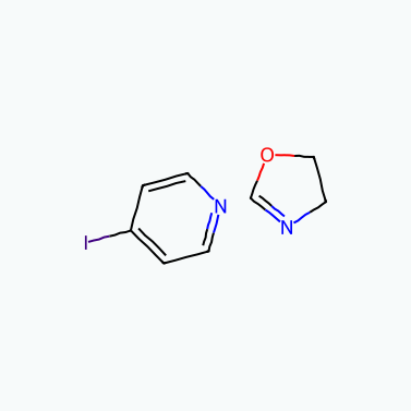 C1=NCCO1.Ic1ccncc1